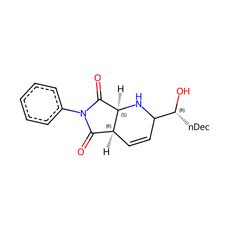 CCCCCCCCCC[C@@H](O)C1C=C[C@H]2C(=O)N(c3ccccc3)C(=O)[C@H]2N1